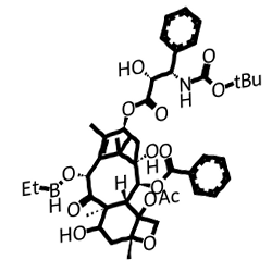 CCBO[C@H]1C(=O)[C@]2(C)C(O)C[C@@]3(C)OCC3(OC(C)=O)[C@H]2[C@H](OC(=O)c2ccccc2)[C@]2(O)C[C@H](OC(=O)[C@H](O)[C@@H](NC(=O)OC(C)(C)C)c3ccccc3)C(C)=C1C2(C)C